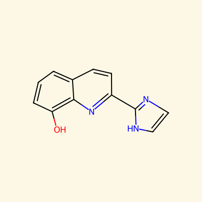 Oc1cccc2ccc(-c3ncc[nH]3)nc12